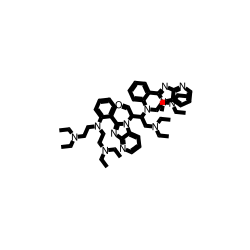 CCN(CC)CCN(CCN(CC)CC)c1ccccc1-c1nc2ncccc2n1C(C=O)C(CN(CC)CC)N(CCN(CC)CC)c1ccccc1-c1nc2ncccc2n1C